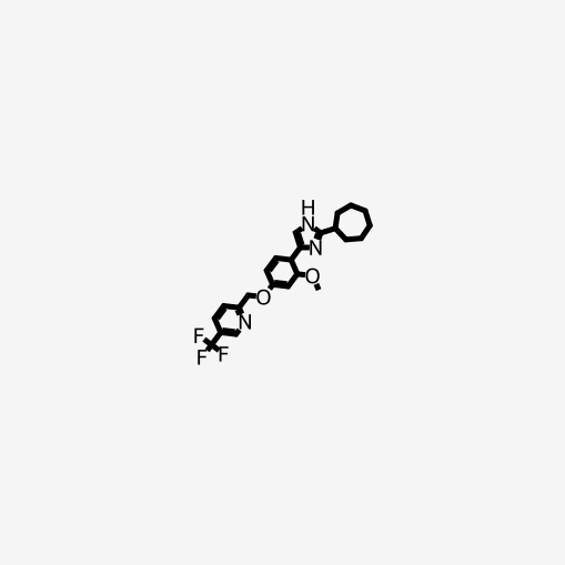 COC1C=C(OCc2ccc(C(F)(F)F)cn2)C=CC1c1c[nH]c(C2CCCCCC2)n1